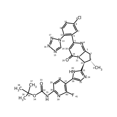 C[C@H]1Cc2nc(-c3cc(Cl)ccc3-n3cnnn3)cc(=O)n2[C@@H]1c1ncc(-c2ccc(NC(=O)OC(C)(C)C)nc2F)[nH]1